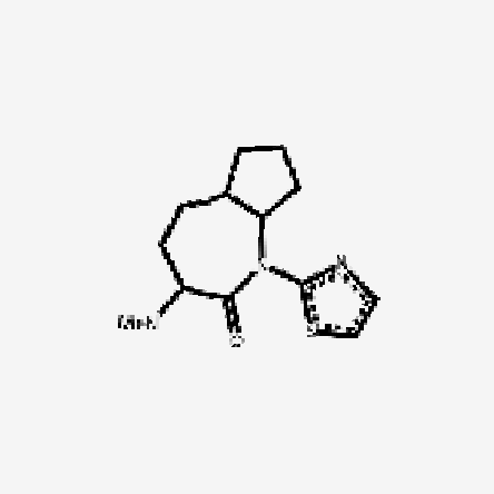 CNC1CCC2CCCC2N(c2nccs2)C1=O